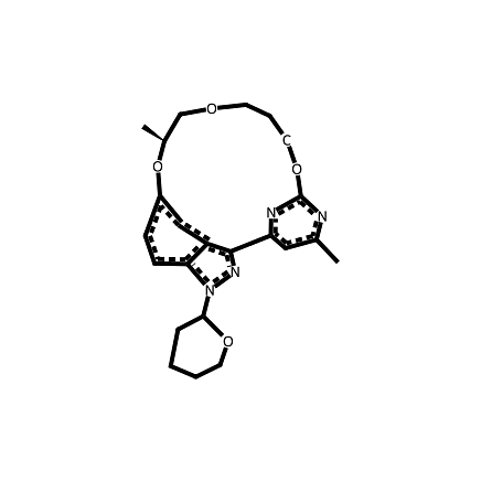 Cc1cc2nc(n1)OCCCOC[C@H](C)Oc1ccc3c(c1)c-2nn3C1CCCCO1